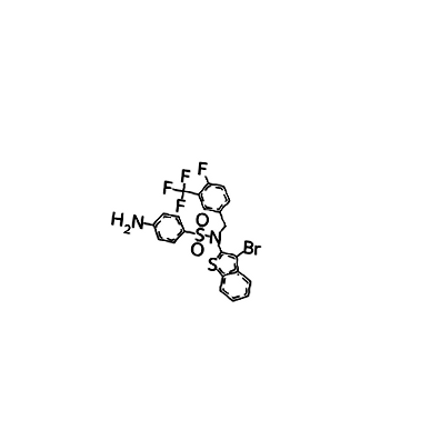 Nc1ccc(S(=O)(=O)N(Cc2ccc(F)c(C(F)(F)F)c2)c2sc3ccccc3c2Br)cc1